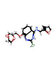 Clc1nc(NCc2ccco2)c2cccc(OC[C@@H]3COCCO3)c2n1